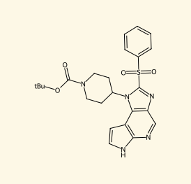 CC(C)(C)OC(=O)N1CCC(n2c(S(=O)(=O)c3ccccc3)nc3cnc4[nH]ccc4c32)CC1